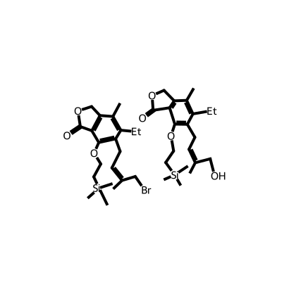 CCc1c(C)c2c(c(OCC[Si](C)(C)C)c1CC=C(C)CBr)C(=O)OC2.CCc1c(C)c2c(c(OCC[Si](C)(C)C)c1CC=C(C)CO)C(=O)OC2